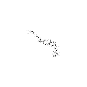 CC(C)NC(=O)CC[C@@H](C)C1CCC2C3CCC4C[C@@H](NCCCNCCCN)CC[C@]4(C)C3CC[C@@]21C